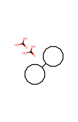 C1CCCCCC(C2CCCCCCCCCCC2)CCCCC1.O=C(O)O.O=C(O)O